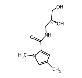 Cc1cc(C(=O)NC[C@H](O)CO)n(C)c1